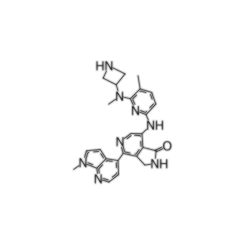 Cc1ccc(Nc2cnc(-c3ccnc4c3ccn4C)c3c2C(=O)NC3)nc1N(C)C1CNC1